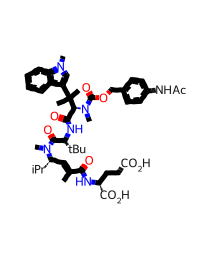 CC(=O)Nc1ccc(COC(=O)N(C)[C@H](C(=O)N[C@H](C(=O)N(C)[C@H](/C=C(\C)C(=O)N[C@H](CCC(=O)O)C(=O)O)C(C)C)C(C)(C)C)C(C)(C)c2cn(C)c3ccccc23)cc1